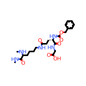 CNC(=O)C(CCCCNC(=O)CC[C@H](NC(=O)OCc1ccccc1)C(=O)NCC(=O)O)NC